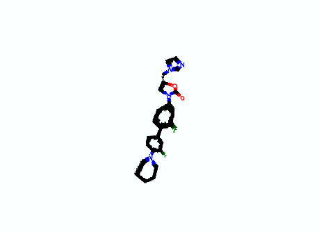 O=C1O[C@@H](Cn2ccnc2)CN1c1ccc(-c2ccc(N3CCCCC3)c(F)c2)c(F)c1